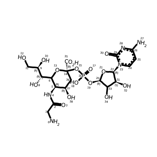 NCC(=O)N[C@H]1C([C@H](O)[C@H](O)CO)O[C@](OP(=O)(O)O[C@H]2O[C@@H](n3ccc(N)nc3=O)[C@@H](O)C2O)(C(=O)O)C[C@H]1O